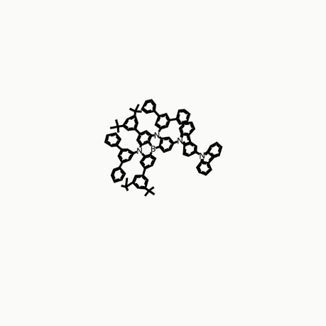 CC(C)(C)c1cc(-c2ccc3c(c2)N(c2cc(-c4ccccc4)cc(-c4ccccc4)c2)c2cc(-c4cc(C(C)(C)C)cc(C(C)(C)C)c4)cc4c2B3c2ccc(-n3c5ccccc5c5cc(-n6c7ccccc7c7ccccc76)ccc53)cc2N4c2cc(-c3ccccc3)cc(-c3ccccc3)c2)cc(C(C)(C)C)c1